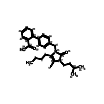 CCCCc1c(F)n(CCC(C)C)c(=O)n1Cc1ccc(-c2ccccc2C(=O)O)cc1